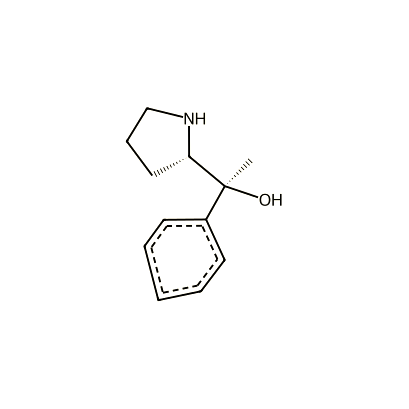 C[C@](O)(c1ccccc1)[C@@H]1CCCN1